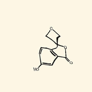 O=C1OC2(COC2)c2ccc(O)cc21